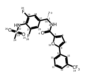 C[C@H](NC(=O)c1ccc(-c2cccc(C(F)(F)F)c2)o1)c1cc(F)c(NS(C)(=O)=O)c(F)c1